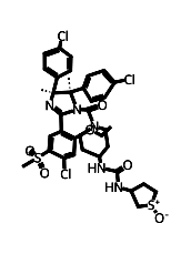 CCOc1cc(Cl)c(S(C)(=O)=O)cc1C1=N[C@@](C)(c2ccc(Cl)cc2)[C@@](C)(c2ccc(Cl)cc2)N1C(=O)N1CCC(NC(=O)NC2CC[S+]([O-])C2)CC1